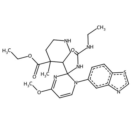 CCNC(=O)NC1(C2CNCCC2(C)C(=O)OCC)N=C(OC)C=CN1c1ccc2scnc2c1